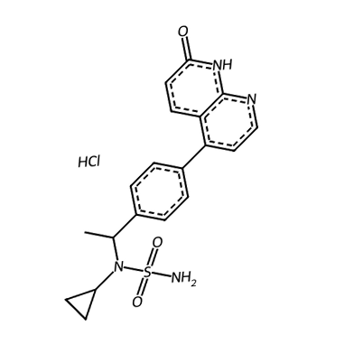 CC(c1ccc(-c2ccnc3[nH]c(=O)ccc23)cc1)N(C1CC1)S(N)(=O)=O.Cl